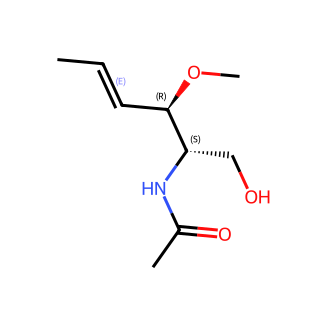 C/C=C/[C@@H](OC)[C@H](CO)NC(C)=O